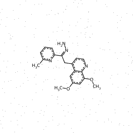 COc1cc(OC)c2nccc(CC(=NN)c3cccc(C)n3)c2c1